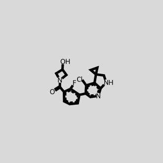 O=C(c1cccc(-c2cnc3c(c2Cl)C2(CC2)CN3)c1F)N1CC(O)C1